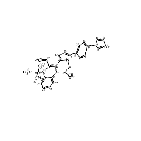 CCCn1c(-c2ccc(-n3ccnc3)cc2)cnc1C(Cc1ccccn1)N(C=O)OC(C)(C)C